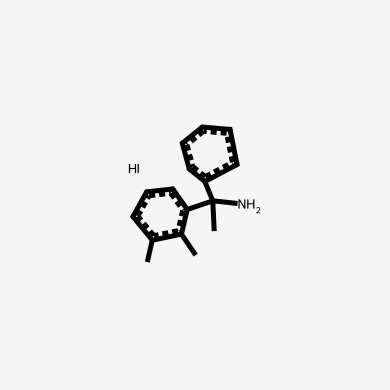 Cc1cccc(C(C)(N)c2ccccc2)c1C.I